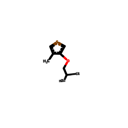 CCCCC(CC)COc1cscc1C